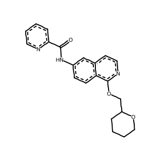 O=C(Nc1ccc2c(OCC3CCCCO3)nccc2c1)c1ccccn1